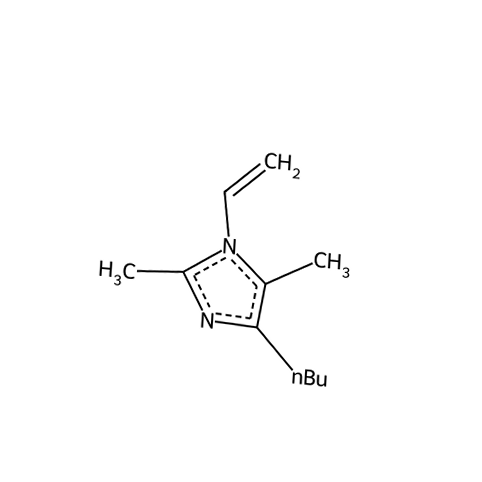 C=Cn1c(C)nc(CCCC)c1C